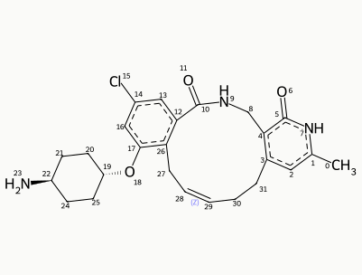 Cc1cc2c(c(=O)[nH]1)CNC(=O)c1cc(Cl)cc(O[C@H]3CC[C@H](N)CC3)c1C/C=C\CC2